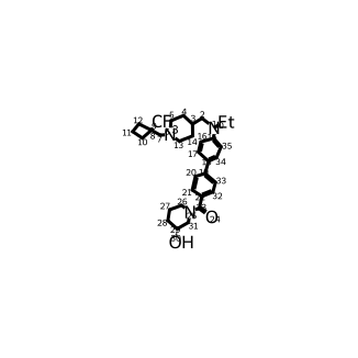 CCN(CC1CCN(CC2(C(F)(F)F)CCC2)CC1)c1ccc(-c2ccc(C(=O)N3CCC[C@@H](O)C3)cc2)cc1